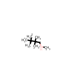 CBCC(C)(C)C(C)(C)C